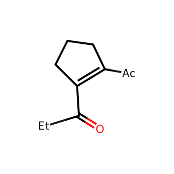 CCC(=O)C1=C(C(C)=O)CCC1